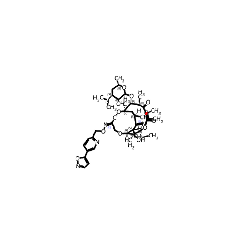 CC[C@H]1OC(=O)[C@H](C)C(=O)[C@H](C)[C@@H](OC2O[C@H](C)C[C@H](N(C)C)[C@H]2O)[C@@]2(C)C[C@@H](C)/C(=N\C(C)=O)[C@H](C)[C@@H](OC/C(=N\OCc3ccc(-c4ccno4)cn3)CO2)[C@]1(C)O